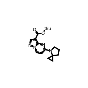 CC(C)(C)OC(=O)c1cnn2ccc(N3CCCC34CC4)nc12